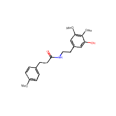 COc1ccc(CCC(=O)NCCc2cc(O)c(OC)c(OC)c2)cc1